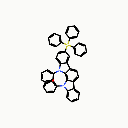 c1ccc(-n2c3ccccc3c3ccc4c5cc(S(c6ccccc6)(c6ccccc6)c6ccccc6)ccc5n(-c5ccccc5)c4c32)cc1